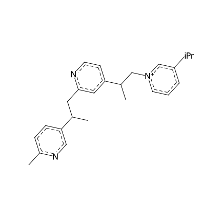 Cc1ccc(C(C)Cc2cc(C(C)C[n+]3cccc(C(C)C)c3)ccn2)cn1